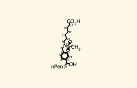 CCCCCC(O)c1ccc(CN(CCCCCCC(=O)O)S(C)(=O)=O)cc1